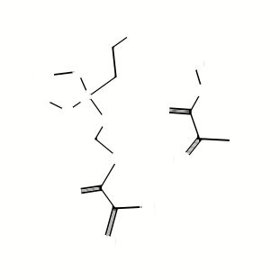 C=C(C)C(=O)OC.C=C(C)C(=O)OCO[Si](CCC)(OC)OC